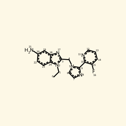 CCn1c(Cn2ccnc2-c2ncccc2F)nc2cc(N)ccc21